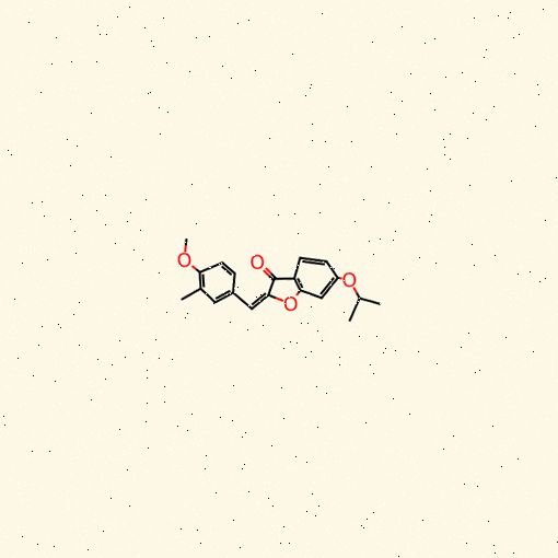 COc1ccc(C=C2Oc3cc(OC(C)C)ccc3C2=O)cc1C